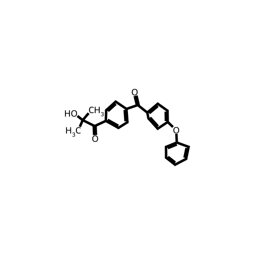 CC(C)(O)C(=O)c1ccc(C(=O)c2ccc(Oc3ccccc3)cc2)cc1